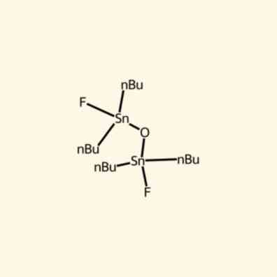 CCC[CH2][Sn]([F])([CH2]CCC)[O][Sn]([F])([CH2]CCC)[CH2]CCC